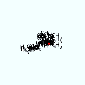 COCOc1c(OC)c(C)cc2c1[C@@H]1[C@@H]3Cc4c(O)c(C)c5c(c4[C@H](CNC(=O)Cc4ccc(O[Si](C)(C)C(C)(C)C)cc4)N3[C@@H](C#N)[C@@H](C2)N1C)OCO5